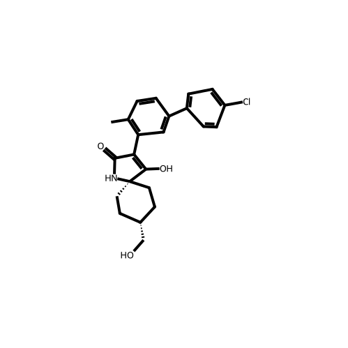 Cc1ccc(-c2ccc(Cl)cc2)cc1C1=C(O)[C@]2(CC[C@@H](CO)CC2)NC1=O